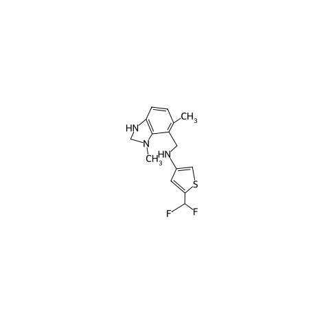 Cc1ccc2c(c1CNc1csc(C(F)F)c1)N(C)CN2